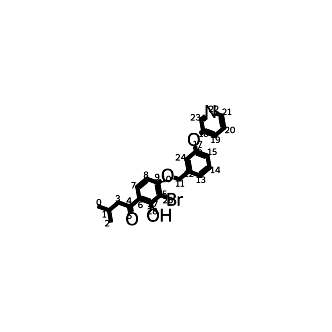 CC(C)CC(=O)c1ccc(OCc2cccc(Oc3cccnc3)c2)c(Br)c1O